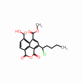 CCCCC(Cl)c1cc(C(=O)OC)c2c(C(=O)O)ccc3c2c1C(=O)OC3=O